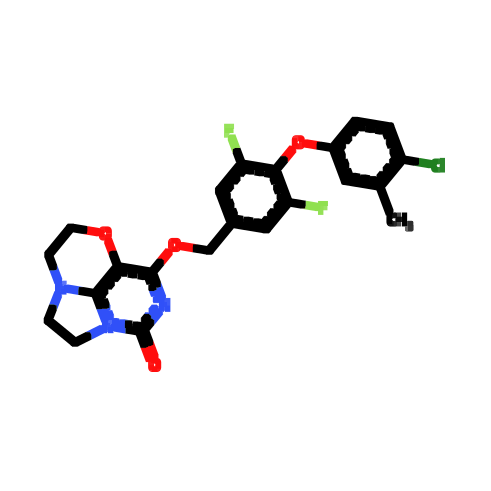 Cc1cc(Oc2c(F)cc(COc3nc(=O)n4c5c3OCCN5CC4)cc2F)ccc1Cl